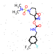 CN(C)S(=O)(=O)N1CCc2onc(OC(=O)NCc3ccc(C(F)(F)F)c(F)c3)c2C1